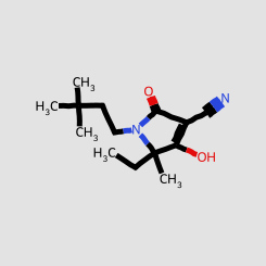 CCC1(C)C(O)=C(C#N)C(=O)N1CCC(C)(C)C